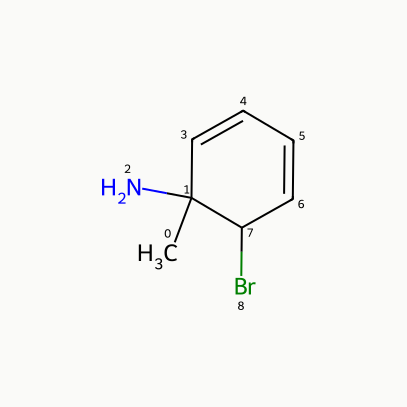 CC1(N)C=CC=CC1Br